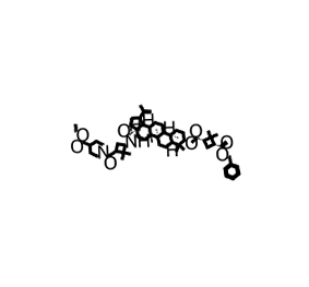 C=C(C)C1CC[C@]2(C(=O)NC3CC(C(=O)N4CCC(C(=O)OCC)CC4)C3(C)C)CC[C@]3(C)[C@H](CC[C@@H]4[C@@]5(C)CC[C@H](OC(=O)[C@H]6C[C@@H](C(=O)OCc7ccccc7)C6(C)C)C(C)(C)[C@@H]5CC[C@]43C)[C@@H]12